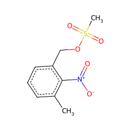 Cc1cccc(COS(C)(=O)=O)c1[N+](=O)[O-]